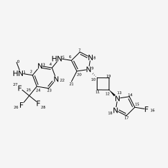 CNc1nc(Nc2cnn([C@H]3C[C@H](n4cc(F)cn4)C3)c2C)ncc1C(F)(F)F